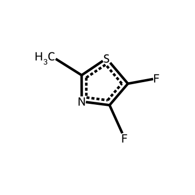 Cc1nc(F)c(F)s1